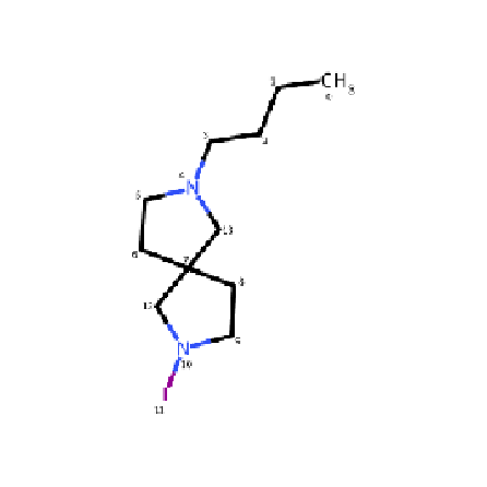 CCCCN1CCC2(CCN(I)C2)C1